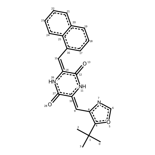 CC(C)(C)c1ocnc1C=c1[nH]c(=O)c(=Cc2cccc3ccccc23)[nH]c1=O